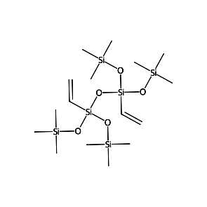 C=C[Si](O[Si](C)(C)C)(O[Si](C)(C)C)O[Si](C=C)(O[Si](C)(C)C)O[Si](C)(C)C